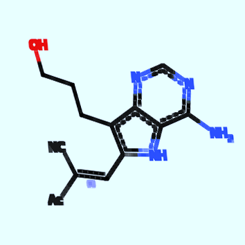 CC(=O)/C(C#N)=C/c1[nH]c2c(N)ncnc2c1CCCO